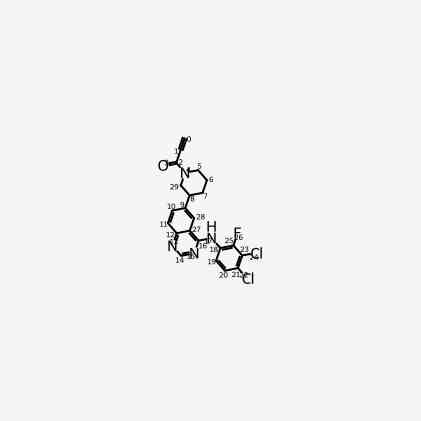 C#CC(=O)N1CCCC(c2ccc3ncnc(Nc4ccc(Cl)c(Cl)c4F)c3c2)C1